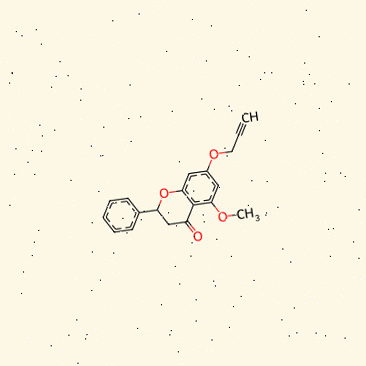 C#CCOc1cc(OC)c2c(c1)OC(c1ccccc1)CC2=O